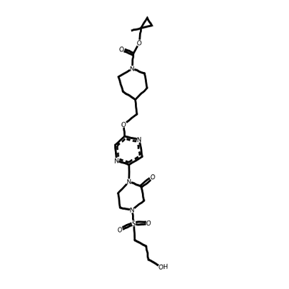 CC1(OC(=O)N2CCC(COc3cnc(N4CCN(S(=O)(=O)CCCO)CC4=O)cn3)CC2)CC1